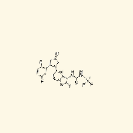 O=C1C[C@H](c2cc(F)ccc2F)N(c2ccn3nc(F)c(NC(=S)NC4CC4(F)F)c3n2)C1